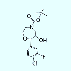 CC(C)(C)OC(=O)N1CCOC(c2ccc(Cl)c(F)c2)C(O)C1